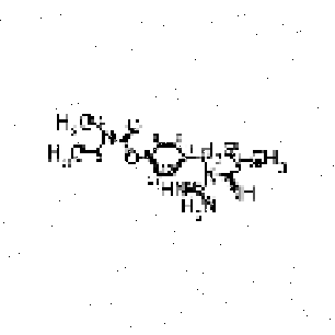 CCN(CC)C(=O)Oc1ccc(CN(C(=N)N)C(=N)N(C)C)cc1